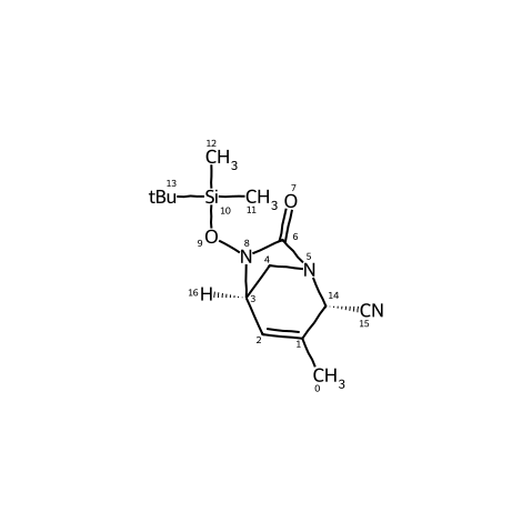 CC1=C[C@@H]2CN(C(=O)N2O[Si](C)(C)C(C)(C)C)[C@@H]1C#N